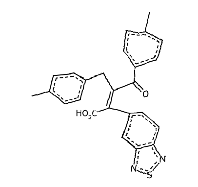 Cc1ccc(C/C(C(=O)c2ccc(C)cc2)=C(\C(=O)O)c2ccc3nsnc3c2)cc1